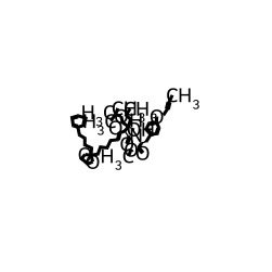 CC#CCOc1ccc(C[C@H](NC(=O)[C@@H](/C=C/CCCCC2(CCCCc3ccccc3)OCCO2)[C@@](O)(CCC)C(=O)OC(C)(C)C)C(=O)OC)cc1